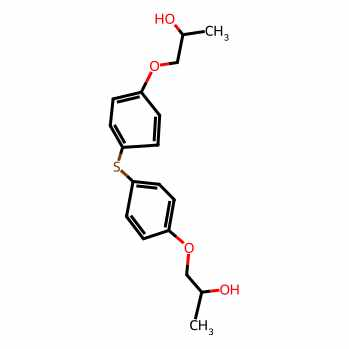 CC(O)COc1ccc(Sc2ccc(OCC(C)O)cc2)cc1